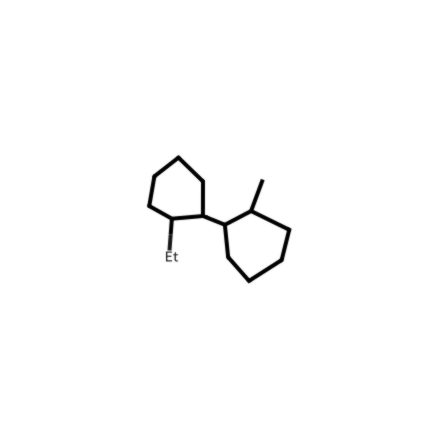 CCC1CCCC[C]1C1CCCCC1C